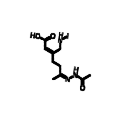 CC(=O)NN=C(C)CCC(=CC(=O)O)CNI